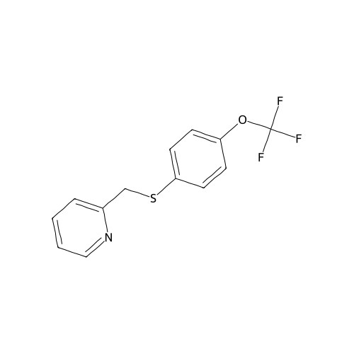 FC(F)(F)Oc1ccc(SCc2ccccn2)cc1